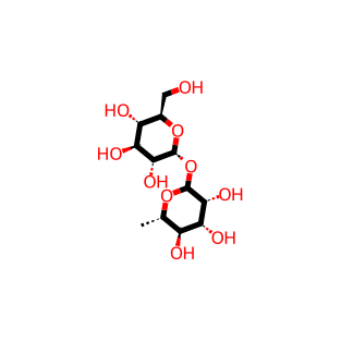 C[C@@H]1OC(O[C@H]2O[C@H](CO)[C@@H](O)[C@H](O)[C@H]2O)[C@H](O)[C@H](O)[C@H]1O